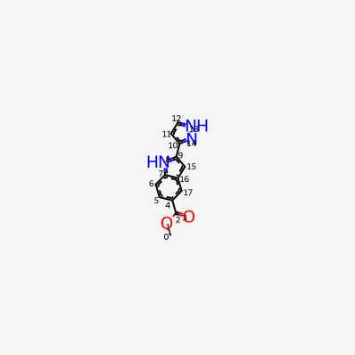 COC(=O)c1ccc2[nH]c(-c3cc[nH]n3)cc2c1